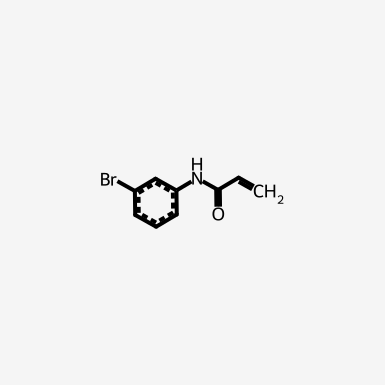 C=CC(=O)Nc1cccc(Br)c1